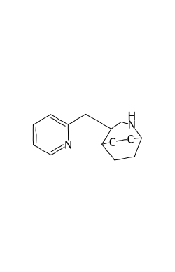 c1ccc(CC2CNC3CCC2CC3)nc1